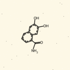 NC(=O)c1cccc2cc(O)c(O)cc12